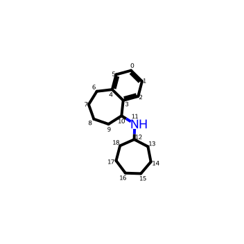 c1ccc2c(c1)CCCCC2NC1CCCCCC1